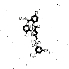 CNC(=O)c1cc(Cl)ccc1NC(=O)c1cc(CNS(=O)(=O)c2cc(C(F)(F)F)cc(C(F)(F)F)c2)nn1-c1ncccc1Cl